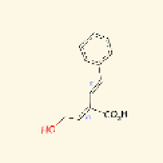 O=C(O)C(/C=C/c1ccccc1)=C/CO